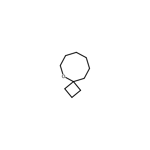 C1CCCC2(CCC2)OCC1